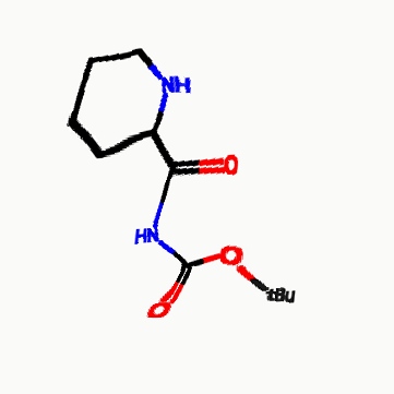 CC(C)(C)OC(=O)NC(=O)C1CCCCN1